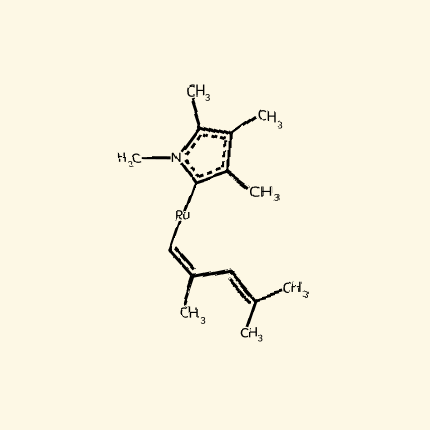 CC(C)=C/C(C)=[CH]\[Ru][c]1c(C)c(C)c(C)n1C